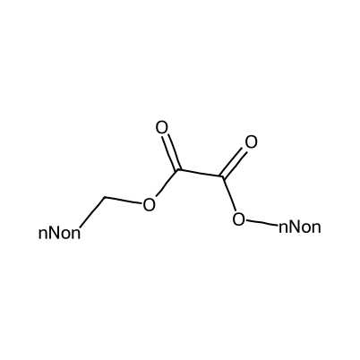 CCCCCCCCCCOC(=O)C(=O)OCCCCCCCCC